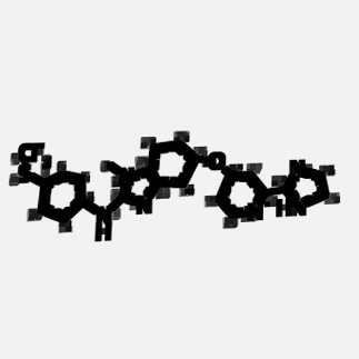 Cn1c(Nc2ccc(SC(F)(F)F)cc2)nc2cc(Oc3ccnc(-c4ncc[nH]4)c3)ccc21